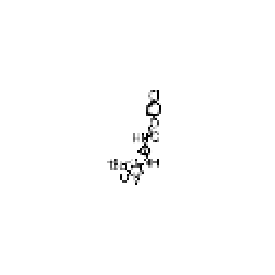 CN(CC(=O)NC12CC(NC(=O)COc3ccc(Cl)cc3)(C1)C2)C(=O)OC(C)(C)C